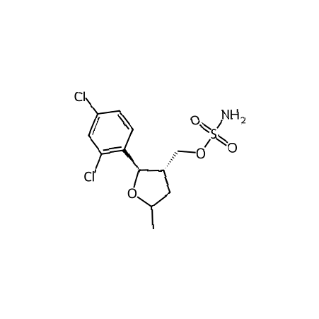 CC1C[C@@H](COS(N)(=O)=O)[C@H](c2ccc(Cl)cc2Cl)O1